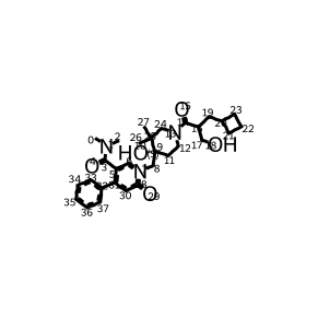 CN(C)C(=O)c1cn(C[C@]2(O)CCN(C(=O)C(CO)CC3CCC3)CC2(C)C)c(=O)cc1-c1ccccc1